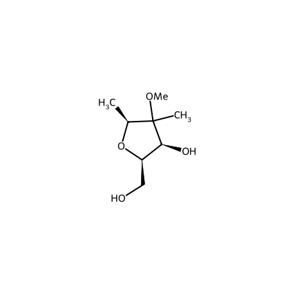 COC1(C)[C@H](C)O[C@H](CO)[C@@H]1O